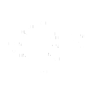 Cc1cc2ccc1[C@@H](C)CN(C)C(=O)Nc1ccc(O)c(c1)CN(C)C(=O)[C@@H]2Nc1cc2c(cc1F)CNC2=O